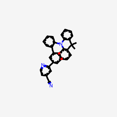 CC1(C)c2ccccc2N(c2ccccc2-c2cccc(-c3cc(C#N)ccn3)c2)c2ccccc21